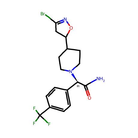 NC(=O)[C@@H](c1ccc(C(F)(F)F)cc1)N1CCC(C2CC(Br)=NO2)CC1